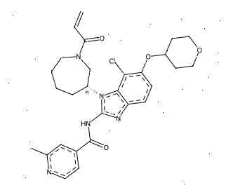 C=CC(=O)N1CCCC[C@@H](n2c(NC(=O)c3ccnc(C)c3)nc3ccc(OC4CCOCC4)c(Cl)c32)C1